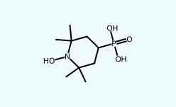 CC1(C)CC(P(=O)(O)O)CC(C)(C)N1O